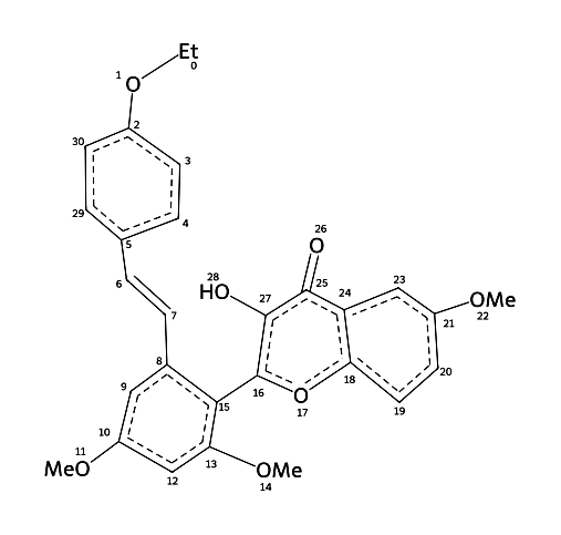 CCOc1ccc(/C=C/c2cc(OC)cc(OC)c2-c2oc3ccc(OC)cc3c(=O)c2O)cc1